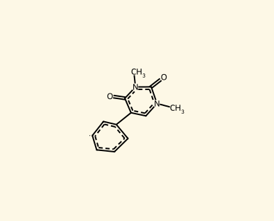 Cn1cc(-c2c[c]ccc2)c(=O)n(C)c1=O